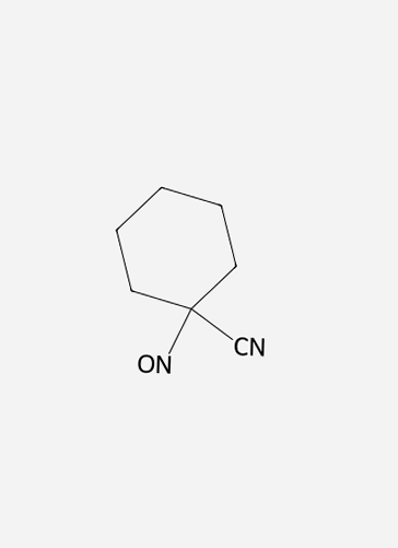 N#CC1(N=O)CCCCC1